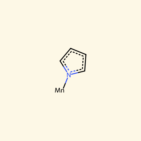 [Mn][n]1cccc1